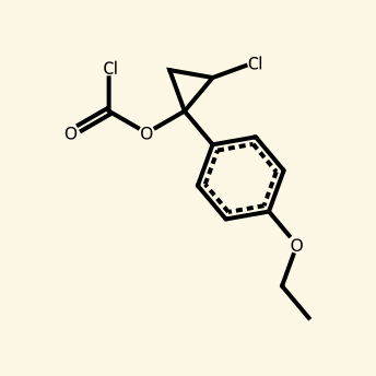 CCOc1ccc(C2(OC(=O)Cl)CC2Cl)cc1